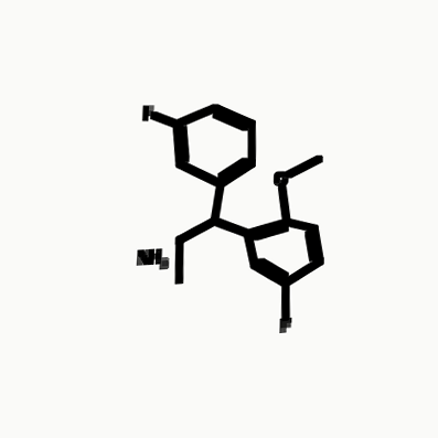 CCC(c1cccc(F)c1)c1cc(F)ccc1OC.N